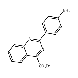 CCOC(=O)c1nc(-c2ccc(N)cc2)nc2ccccc12